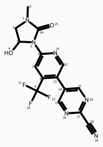 CN1CC(O)N(c2cc(C(F)(F)F)c(-c3cnc(C#N)nc3)cn2)C1=O